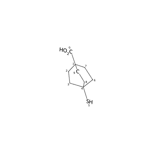 O=C(O)C12CCC(S)(CC1)CC2